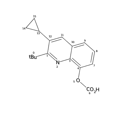 CC(C)(C)c1nc2c(OC(=O)O)cccc2cc1C1CC1